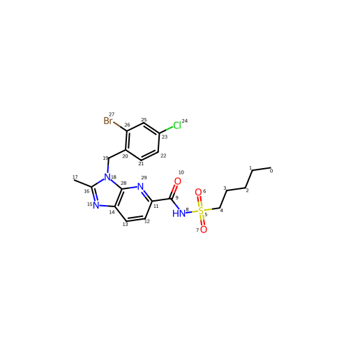 CCCCCS(=O)(=O)NC(=O)c1ccc2nc(C)n(Cc3ccc(Cl)cc3Br)c2n1